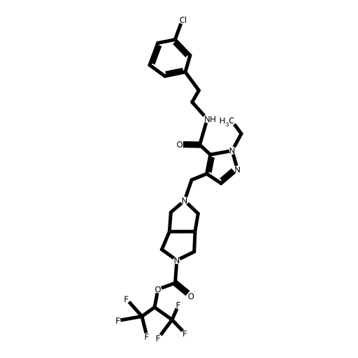 CCn1ncc(CN2CC3CN(C(=O)OC(C(F)(F)F)C(F)(F)F)CC3C2)c1C(=O)NCCc1cccc(Cl)c1